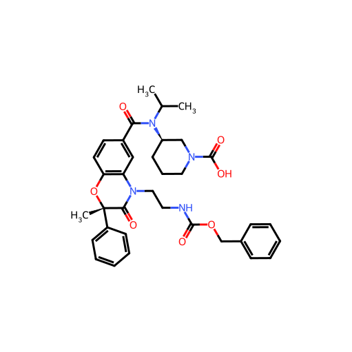 CC(C)N(C(=O)c1ccc2c(c1)N(CCNC(=O)OCc1ccccc1)C(=O)[C@](C)(c1ccccc1)O2)[C@@H]1CCCN(C(=O)O)C1